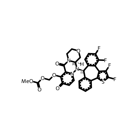 COC(=O)OCOc1c2n(ccc1=O)N([C@@H]1c3ccccc3-c3sc(F)c(F)c3-c3c1ccc(F)c3F)[C@@H]1COCCN1C2=O